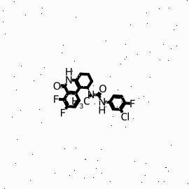 CN(C(=O)Nc1ccc(F)c(Cl)c1)[C@H]1CCCc2[nH]c(=O)c3c(F)c(F)ccc3c21